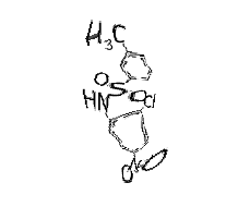 Cc1cccc(S(=O)(=O)Nc2ccc([N+](=O)[O-])cc2Cl)c1